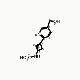 O=C(O)NC12CC(c3ccc(CO)cn3)(C1)C2